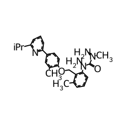 Cc1cc(-c2cccc(C(C)C)n2)ccc1OCc1c(C)cccc1N(N)C(=O)N(C)N